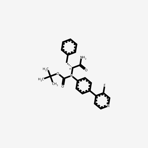 CC(C)(C)OC(=O)N(c1ccc(-c2ccncc2F)cc1)[C@H](Cc1ccccc1)C(N)=O